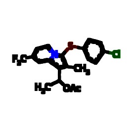 CC(=O)OC(C)c1c(C)c(Sc2ccc(Cl)cc2)n2ccc(C(F)(F)F)cc12